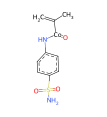 C=[C](C)[Co](=[O])[NH]c1ccc(S(N)(=O)=O)cc1